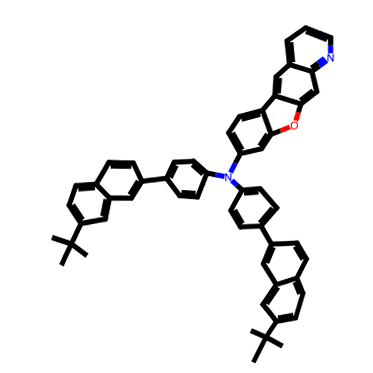 CC(C)(C)c1ccc2ccc(-c3ccc(N(c4ccc(-c5ccc6ccc(C(C)(C)C)cc6c5)cc4)c4ccc5c(c4)oc4cc6ncccc6cc45)cc3)cc2c1